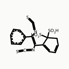 O=S(=O)(O)C1(S(=O)(=O)O)CC=CC=C1C(N=C=S)=C(N=C=S)c1ccccc1